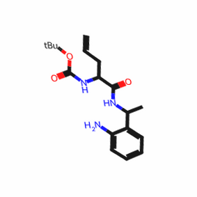 C=CCC(NC(=O)OC(C)(C)C)C(=O)NC(C)c1ccccc1N